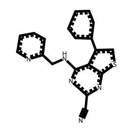 N#Cc1nc(NCc2ccccn2)c2c(-c3ccccc3)csc2n1